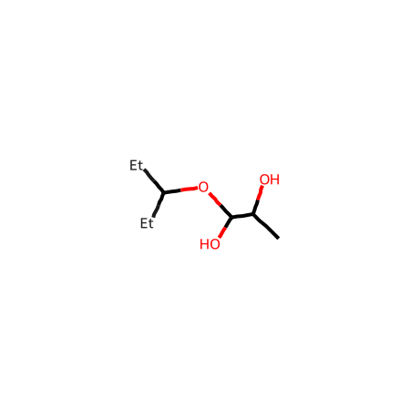 CCC(CC)OC(O)C(C)O